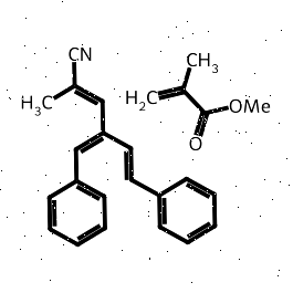 C=C(C)C(=O)OC.CC(C#N)=CC(C=Cc1ccccc1)=Cc1ccccc1